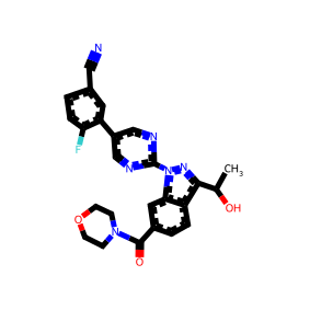 CC(O)c1nn(-c2ncc(-c3cc(C#N)ccc3F)cn2)c2cc(C(=O)N3CCOCC3)ccc12